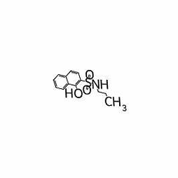 CCCNS(=O)(=O)c1ccc2ccccc2c1O